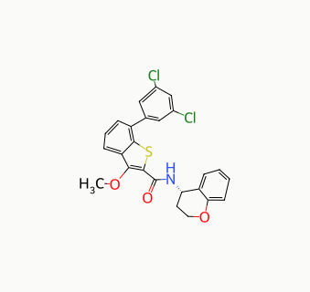 COc1c(C(=O)N[C@H]2CCOc3ccccc32)sc2c(-c3cc(Cl)cc(Cl)c3)cccc12